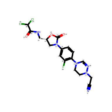 N#CCN1CCN(c2ccc(N3C[C@H](CNC(=O)C(Cl)Cl)OC3=O)cc2F)C=N1